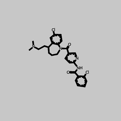 CN(C)CCC1CCCN(C(=O)c2ccc(NC(=O)c3ccccc3Cl)nc2)c2ccc(Cl)cc21